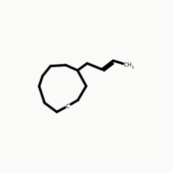 CC=CCC1C[CH]CCCCCCC1